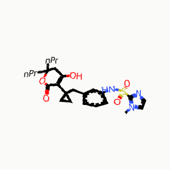 CCCC1(CCC)CC(O)=C(C2(Cc3cccc(NS(=O)(=O)c4nccn4C)c3)CC2)C(=O)O1